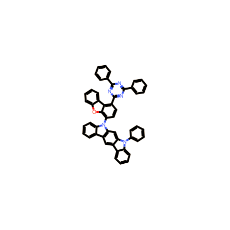 c1ccc(-c2nc(-c3ccccc3)nc(-c3ccc(-n4c5ccccc5c5cc6c7ccccc7n(-c7ccccc7)c6cc54)c4oc5ccccc5c34)n2)cc1